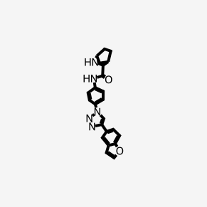 O=C(Nc1ccc(-n2cc(-c3ccc4occc4c3)nn2)cc1)C1NC2CCC1C2